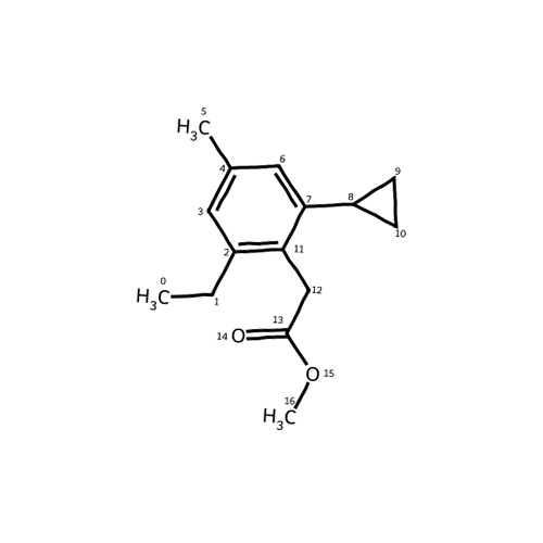 CCc1cc(C)cc(C2CC2)c1CC(=O)OC